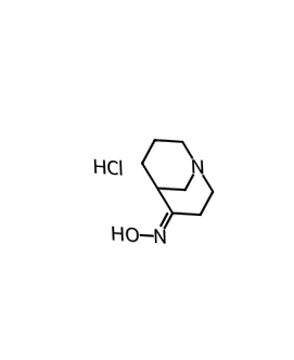 Cl.ON=C1CCN2CCCC1C2